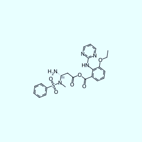 CCOc1cccc(C(=O)OC(=O)C[C@@H](N)N(C)S(=O)(=O)c2ccccc2)c1Nc1ncccn1